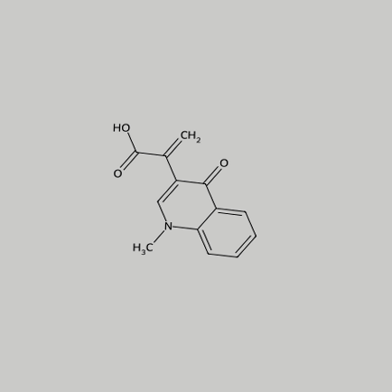 C=C(C(=O)O)c1cn(C)c2ccccc2c1=O